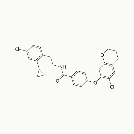 O=C(NCCc1ccc(Cl)cc1C1CC1)c1ccc(Oc2cc3c(cc2Cl)CCCO3)cc1